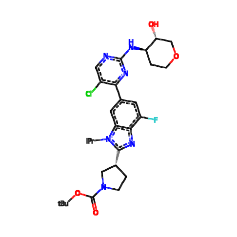 CC(C)n1c([C@@H]2CCN(C(=O)OC(C)(C)C)C2)nc2c(F)cc(-c3nc(N[C@@H]4CCOC[C@H]4O)ncc3Cl)cc21